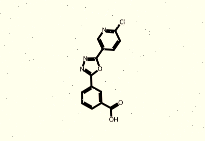 O=C(O)c1cccc(-c2nnc(-c3ccc(Cl)nc3)o2)c1